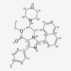 CCOC(=O)c1c(-c2ccc(C)cc2)nc(-c2cccc3ccccc23)n1CCN1CCOCC1